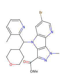 COC(=O)c1nn(C)c2c3ncc(Br)cc3n(C(c3ncccc3C)C3CCOCC3)c12